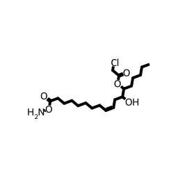 CCCCCC(OC(=O)CCl)C(O)C/C=C\CCCCCCCC(=O)ON